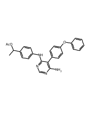 CC(=O)OC(C)c1ccc(Nc2ncnc(N)c2-c2ccc(Oc3ccccc3)cc2)cc1